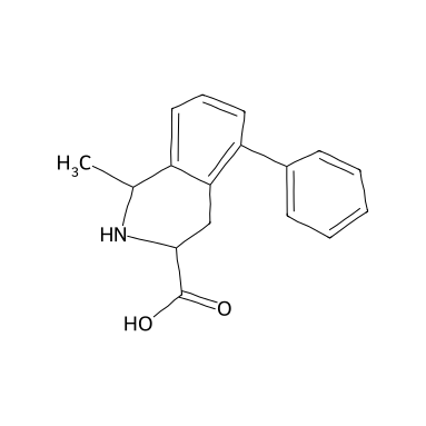 CC1NC(C(=O)O)Cc2c(-c3ccccc3)cccc21